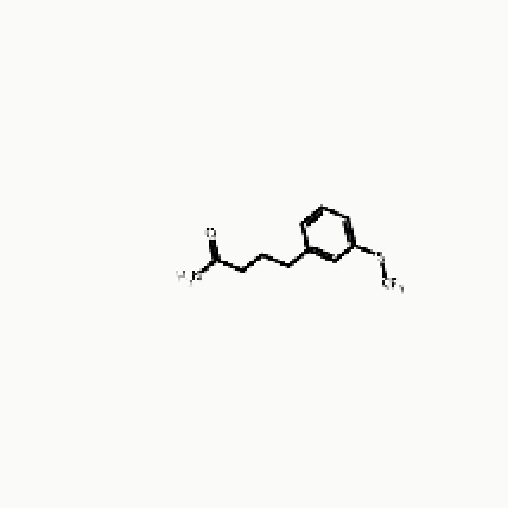 NC(=O)CCCc1cccc(SC(F)(F)F)c1